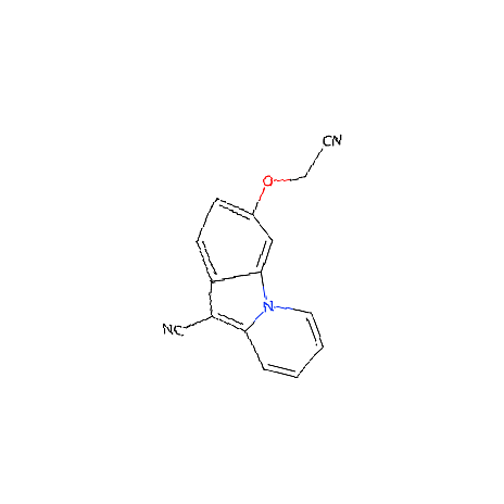 N#CCOc1ccc2c(C#N)c3ccccn3c2c1